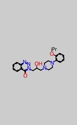 CC(C)Oc1ccccc1N1CCN(CC(O)Cn2nnc3ccccc3c2=O)CC1